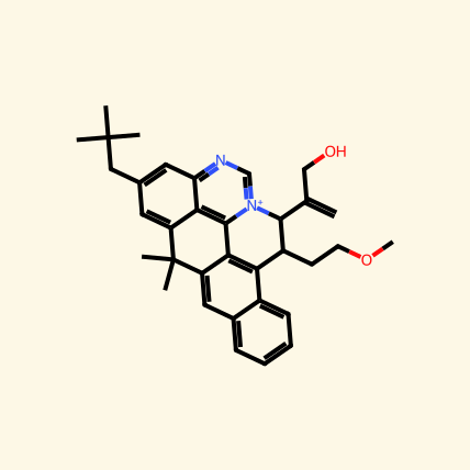 C=C(CO)C1C(CCOC)c2c3c(cc4ccccc24)C(C)(C)c2cc(CC(C)(C)C)cc4nc[n+]1c-3c24